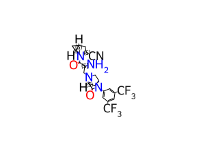 N#C[C@@H]1C[C@@H]2C[C@@H]2N1C(=O)[C@@H](N)CN1CC2C[C@H]1C(=O)N2c1cc(C(F)(F)F)cc(C(F)(F)F)c1